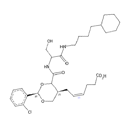 O=C(O)CC/C=C\C[C@H]1CO[C@@H](c2ccccc2Cl)OC1C(=O)NC(CO)C(=O)NCCCCC1CCCCC1